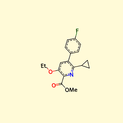 CCOc1cc(-c2ccc(F)cc2)c(C2CC2)nc1C(=O)OC